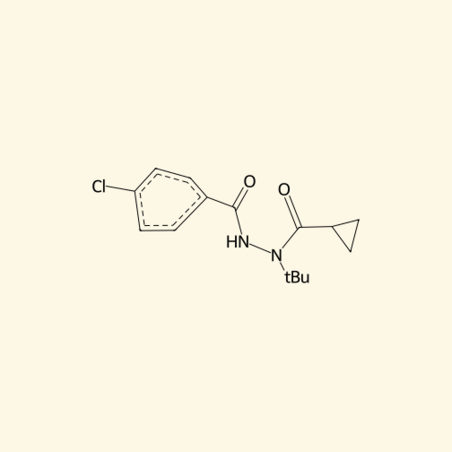 CC(C)(C)N(NC(=O)c1ccc(Cl)cc1)C(=O)C1CC1